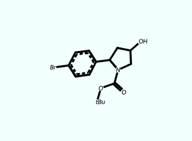 CC(C)(C)OC(=O)N1CC(O)CC1c1ccc(Br)cc1